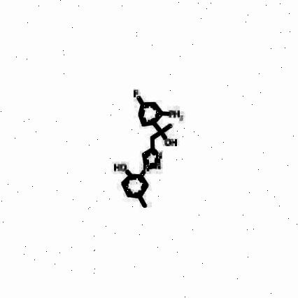 Cc1ccc(O)c(-n2cc(CC(C)(O)c3ccc(F)cc3P)nn2)c1